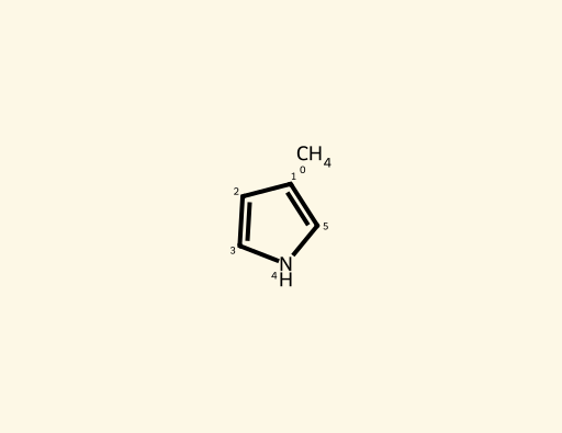 C.c1cc[nH]c1